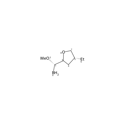 B[C@H](OC)C1C[C@@H](CC)CO1